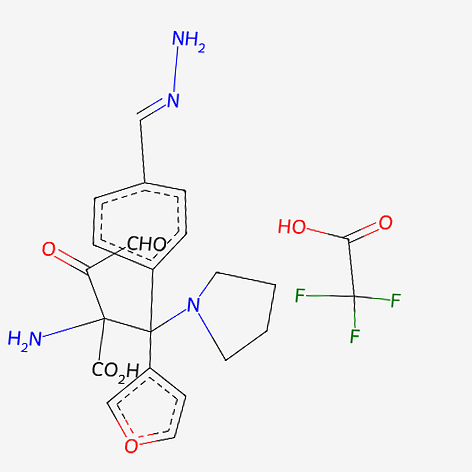 NN=Cc1ccc(C(c2ccoc2)(N2CCCC2)C(N)(C(=O)O)C(=O)C=O)cc1.O=C(O)C(F)(F)F